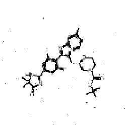 Cc1ccn2c(C[C@H]3CN(C(=O)OC(C)(C)C)CCO3)c(-c3c(F)cc(C4=NC(=O)C(C)(C)N4)cc3F)nc2c1